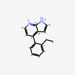 CCc1ccccc1-c1ccnc2[nH]ccc12